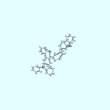 c1ccc(-n2c3ccccc3c3cc4c(-c5cccc(-c6ccc7c8ccccc8nn7c6)c5)nc5ccccc5c4cc32)cc1